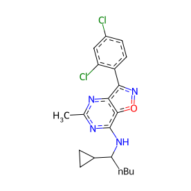 CCCCC(Nc1nc(C)nc2c(-c3ccc(Cl)cc3Cl)noc12)C1CC1